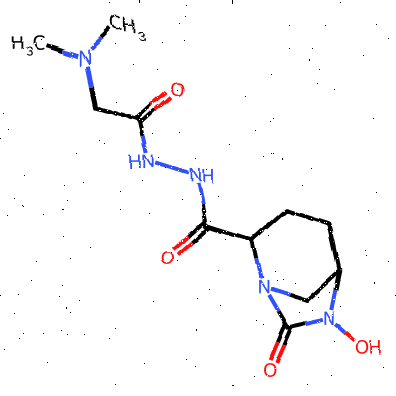 CN(C)CC(=O)NNC(=O)C1CCC2CN1C(=O)N2O